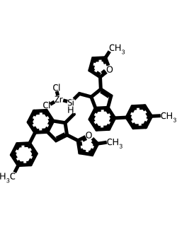 Cc1ccc(-c2cccc3c2C=C(c2ccc(C)o2)C3C[SiH](CC2C(c3ccc(C)o3)=Cc3c(-c4ccc(C)cc4)cccc32)[Zr]([Cl])[Cl])cc1